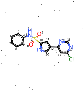 O=S(=O)(Nc1ccccc1)c1cc(-c2cc(Cl)ncn2)c[nH]1